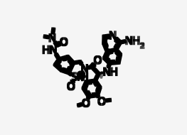 COc1ccc([C@@H](Nc2ccc3c(N)nccc3c2)C(=O)NCc2cc(NC(=O)N(C)C)ccc2[SH](=O)=O)cc1OC